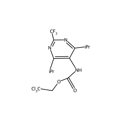 CC(C)c1nc(C(F)(F)F)nc(C(C)C)c1NC(=O)OCC(Cl)(Cl)Cl